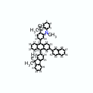 CN1c2ccccc2[Si](C)(C)c2ccc(-c3c4ccccc4c(-c4ccc5c(c4)C(C)(C)c4ccccc4-5)c4cc(-c5ccc6ccccc6c5)ccc34)cc21